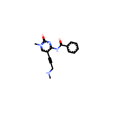 CNCC#Cc1cn(C)c(=O)nc1NC(=O)c1ccccc1